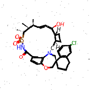 C[C@@H]1[C@@H](C)S(=O)(=O)NC(=O)c2ccc3c(c2)N(C[C@@H]2CC[C@H]2[C@H](O)/C=C/[C@@H]1C)C[C@@]1(CCCc2cc(Cl)ccc21)CO3